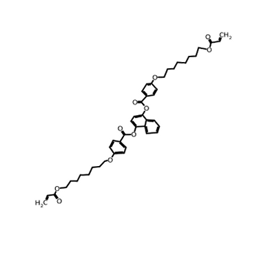 C=CC(=O)OCCCCCCCCOc1ccc(C(=O)Oc2ccc(OC(=O)c3ccc(OCCCCCCCCOC(=O)C=C)cc3)c3ccccc23)cc1